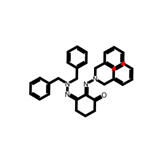 O=C1CCCC(=NN(Cc2ccccc2)Cc2ccccc2)C1=NN(Cc1ccccc1)Cc1ccccc1